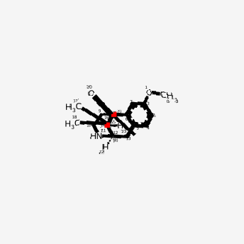 COc1ccc2c(c1)[C@]13CCN[C@H](C2)[C@@H]1CC(C)(C)C(=O)C3